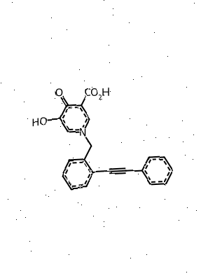 O=C(O)c1cn(Cc2ccccc2C#Cc2ccccc2)cc(O)c1=O